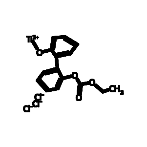 CCOC(=O)Oc1ccccc1-c1ccccc1[O][Ti+3].[Cl-].[Cl-].[Cl-]